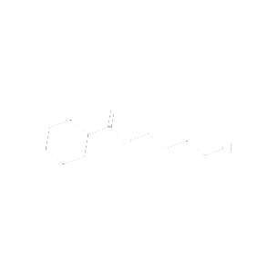 O=C(OCCCCCl)C1CCCCC1